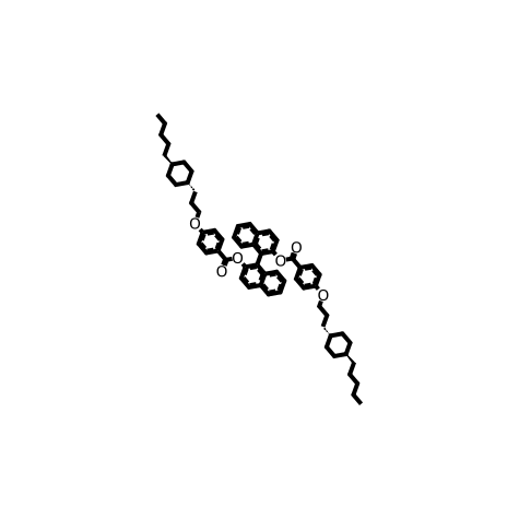 CCCCC[C@H]1CC[C@H](CCCOc2ccc(C(=O)Oc3ccc4ccccc4c3-c3c(OC(=O)c4ccc(OCCC[C@H]5CC[C@H](CCCCC)CC5)cc4)ccc4ccccc34)cc2)CC1